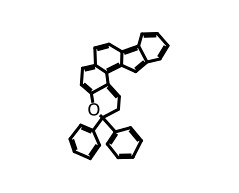 C1=c2ccccc2=c2ccc3ccc4c(c3c21)=CCC(c1ccccc1)(c1ccccc1)O4